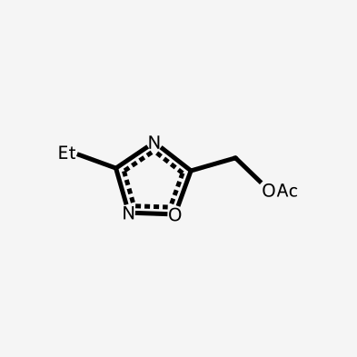 CCc1noc(COC(C)=O)n1